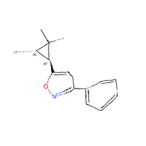 C[C@H]1[C@H](c2cc(-c3ccccc3)no2)C1(C)C